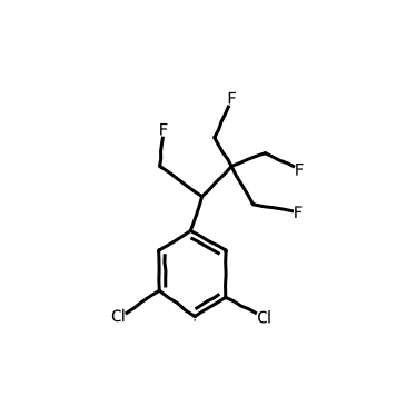 FCC(c1cc(Cl)[c]c(Cl)c1)C(CF)(CF)CF